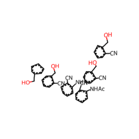 CC(=O)Nc1ccccc1C#N.CC(=O)Nc1ccccc1C#N.N#Cc1ccccc1CO.N#Cc1ccccc1CO.N#Cc1ccccc1CO.OCc1ccccc1